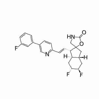 O=C1NCC2(C[C@@H]3C[C@@H](F)[C@H](F)C[C@H]3[C@@H]2/C=C/c2ccc(-c3cccc(F)c3)cn2)O1